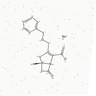 O=C([O-])C1=C(COCc2ccccc2)S[C@H]2CC(=O)N12.[Na+]